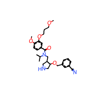 COCCCOc1cc(C(=O)N(CC2CNCC2OCc2cccc(C#N)c2)C(C)C)ccc1OC